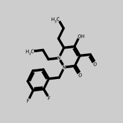 CCCC1C(O)=C(C=O)C(=O)N(Cc2cccc(F)c2F)N1CCC